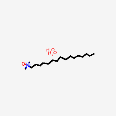 CCCCCCCCCCCCCCCC[N+](C)(C)[O-].O.O